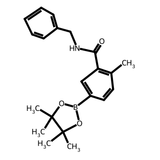 Cc1ccc(B2OC(C)(C)C(C)(C)O2)cc1C(=O)NCc1ccccc1